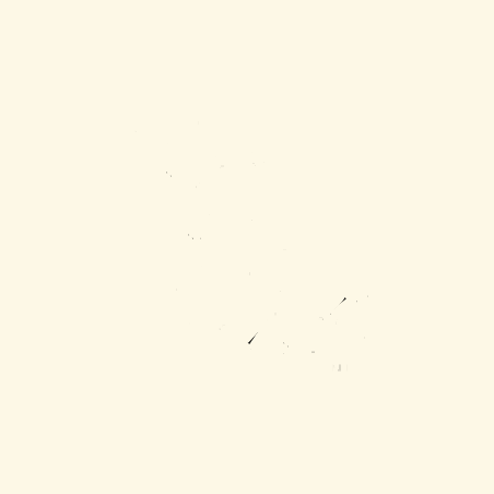 Cc1nc(C(=O)Nc2ccc3c(c2)[C@@]2(C3)N=C(N)[C@@](C)(F)CC2(F)F)c(C)o1